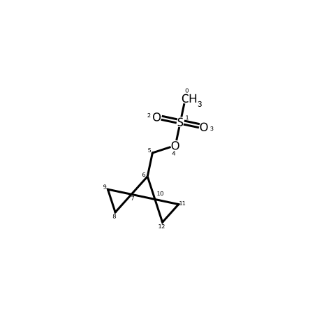 CS(=O)(=O)OCC1C2(CC2)C12CC2